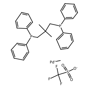 CC(C)(CP(c1ccccc1)c1ccccc1)CP(c1ccccc1)c1ccccc1.O=S(=O)([O-])C(F)(F)F.[CH3][Pd+]